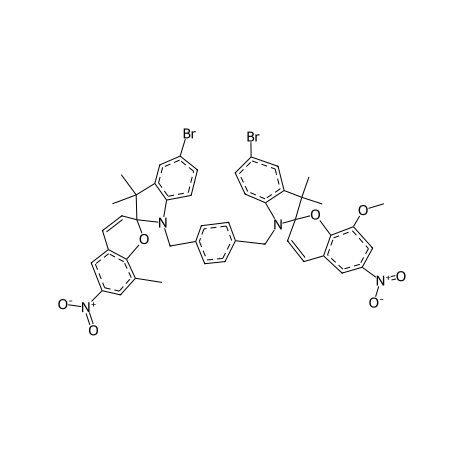 COc1cc([N+](=O)[O-])cc2c1OC1(C=C2)N(Cc2ccc(CN3c4ccc(Br)cc4C(C)(C)C34C=Cc3cc([N+](=O)[O-])cc(C)c3O4)cc2)c2ccc(Br)cc2C1(C)C